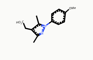 COc1ccc(-n2nc(C)c(CC(=O)O)c2C)cc1